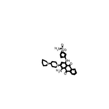 N[SH](=O)=O.Nc1c(N2CCC(N3CCCCC3)CC2)cc(Nc2ccccc2)c2c1C(=O)c1ccccc1C2=O